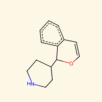 C1=Cc2ccccc2C(C2CCNCC2)O1